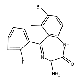 Cc1c(Br)ccc2c1C(c1ccccc1F)=NC(N)C(=O)N2